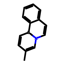 CC1=CN2C=Cc3ccccc3B2C=C1